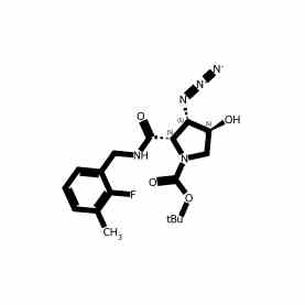 Cc1cccc(CNC(=O)[C@@H]2[C@H](N=[N+]=[N-])[C@@H](O)CN2C(=O)OC(C)(C)C)c1F